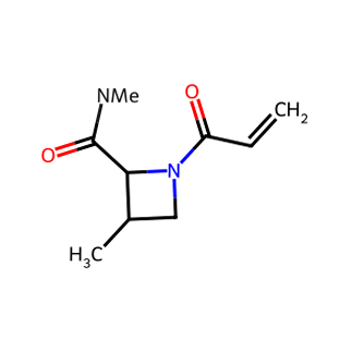 C=CC(=O)N1CC(C)C1C(=O)NC